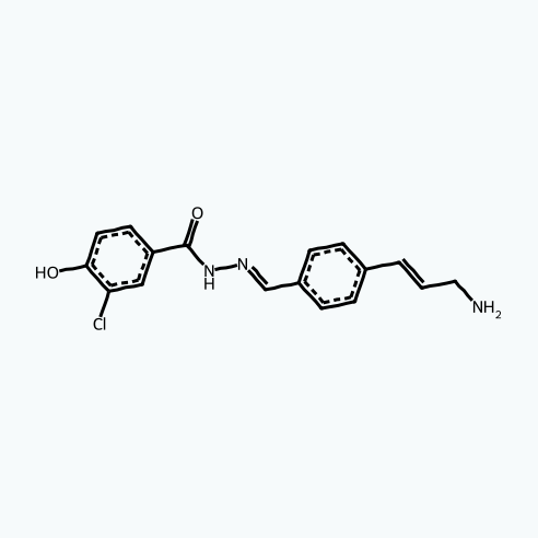 NC/C=C/c1ccc(/C=N/NC(=O)c2ccc(O)c(Cl)c2)cc1